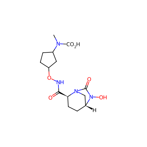 CN(C(=O)O)C1CCC(ONC(=O)[C@@H]2CC[C@@H]3CN2C(=O)N3O)C1